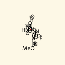 COCCn1ncc2cc(-n3ccn(-c4c5c(nn4-c4cc(C)c(F)c(C)c4)CCN(C(=O)c4cc6cc([C@H]7CCO[C@@H](C)C7)ccc6n4[C@@]4(c6noc(=O)[nH]6)C[C@@H]4C)[C@H]5C)c3=O)ccc21